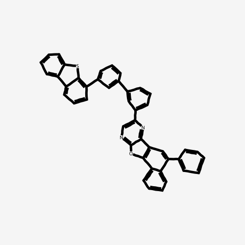 c1ccc(-c2cc3c4nc(-c5cccc(-c6cccc(-c7cccc8c7sc7ccccc78)c6)c5)cnc4oc3c3ccccc23)cc1